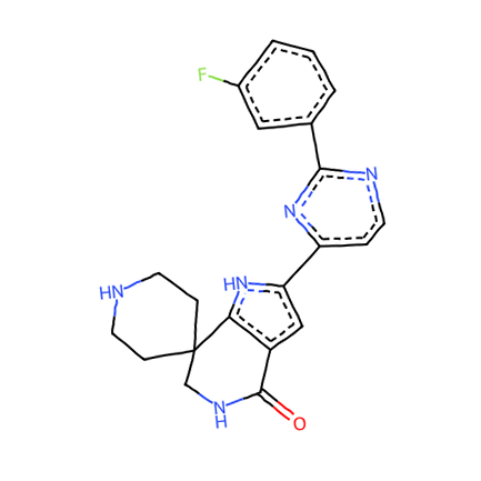 O=C1NCC2(CCNCC2)c2[nH]c(-c3ccnc(-c4cccc(F)c4)n3)cc21